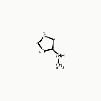 CNC1CSCO1